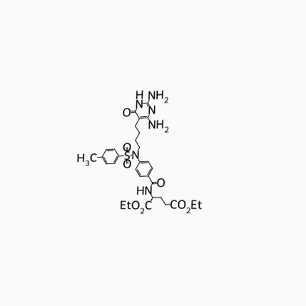 CCOC(=O)CC[C@H](NC(=O)c1ccc(N(CCCCc2c(N)nc(N)[nH]c2=O)S(=O)(=O)c2ccc(C)cc2)cc1)C(=O)OCC